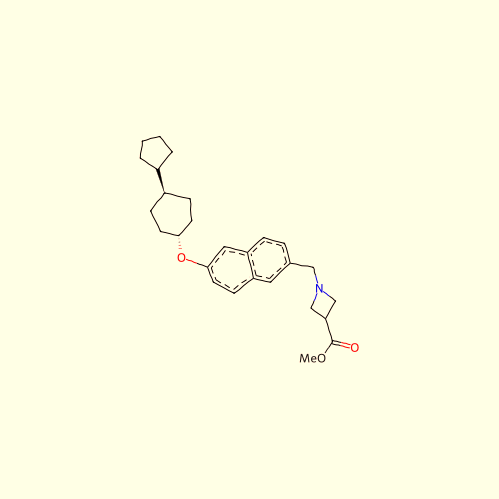 COC(=O)C1CN(Cc2ccc3cc(O[C@H]4CC[C@H](C5CCCC5)CC4)ccc3c2)C1